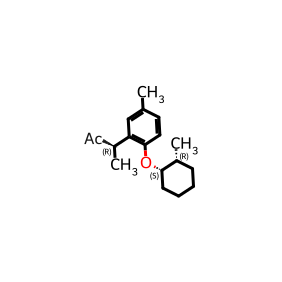 CC(=O)[C@H](C)c1cc(C)ccc1O[C@H]1CCCC[C@H]1C